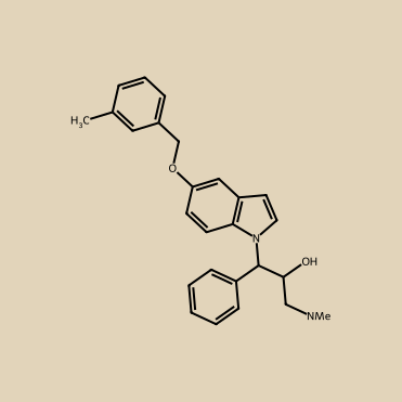 CNCC(O)C(c1ccccc1)n1ccc2cc(OCc3cccc(C)c3)ccc21